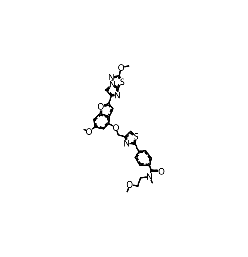 COCCN(C)C(=O)c1ccc(-c2nc(COc3cc(OC)cc4oc(-c5cn6nc(OC)sc6n5)cc34)cs2)cc1